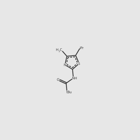 Cc1nc(NC(=O)C(C)(C)C)sc1C(C)C